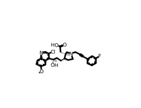 COc1ccc2ncc(Cl)c([C@@H](O)CC[C@@H]3CCN(CC#Cc4cccc(F)c4)C[C@H]3CC(=O)O)c2c1